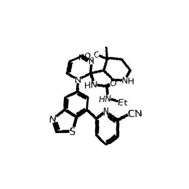 CCNC(=O)NC1(C2CNCCC2(C)C(=O)O)N=CC=CN1c1cc(-c2cccc(C#N)n2)c2scnc2c1